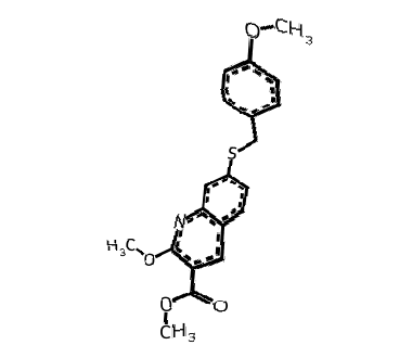 COC(=O)c1cc2ccc(SCc3ccc(OC)cc3)cc2nc1OC